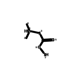 [CH3][SnH]([CH3])[S]C(=O)OS